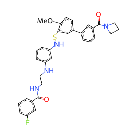 COc1ccc(-c2cccc(C(=O)N3CCC3)c2)cc1SNc1cccc(NCCNC(=O)c2cccc(F)c2)c1